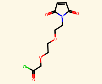 O=C(Cl)COCCOCCN1C(=O)C=CC1=O